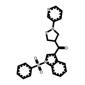 O=C(c1cn(S(=O)(=O)c2ccccc2)c2ccccc12)C1CSN(c2cccnc2)C1